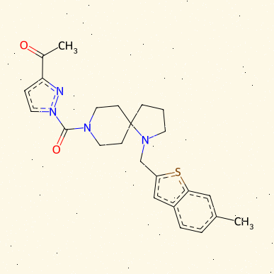 CC(=O)c1ccn(C(=O)N2CCC3(CCCN3Cc3cc4ccc(C)cc4s3)CC2)n1